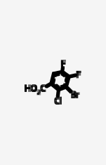 O=C(O)c1cc(F)c(F)c(Br)c1Cl